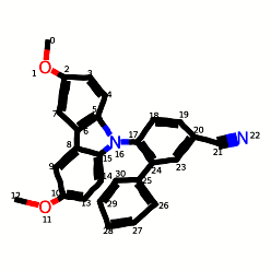 COc1ccc2c(c1)c1cc(OC)ccc1n2-c1ccc(C#N)cc1-c1ccccc1